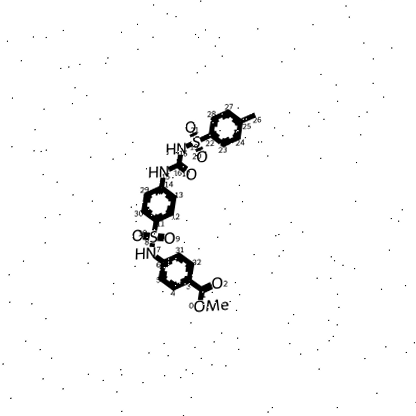 COC(=O)c1ccc(NS(=O)(=O)c2ccc(NC(=O)NS(=O)(=O)c3ccc(C)cc3)cc2)cc1